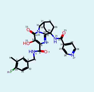 Cc1cc(CNC(=O)c2nc3n(c(=O)c2O)CC2CCC3(NC(=O)c3ccncc3)CC2)ccc1F